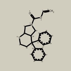 C=COC(=O)N1CC2SCCC(c3ccccc3)(c3ccccc3)C2C1